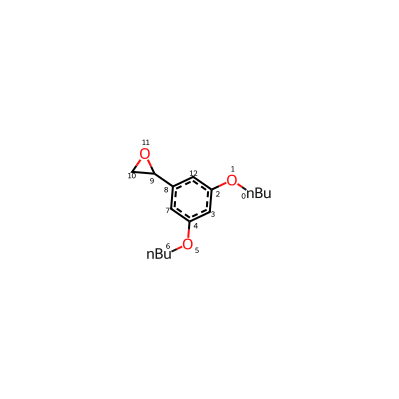 CCCCOc1cc(OCCCC)cc(C2CO2)c1